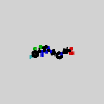 C[C@@H](Nc1nc(N2CC([C@H]3CCCN([C@H]4C[C@](C)(C(=O)O)C4)C3)C2)ncc1Cl)c1ccc(F)cc1Cl